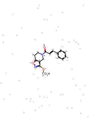 O=C(O)Oc1noc2c1CN(C(=O)C=Cc1ccccc1)CC2